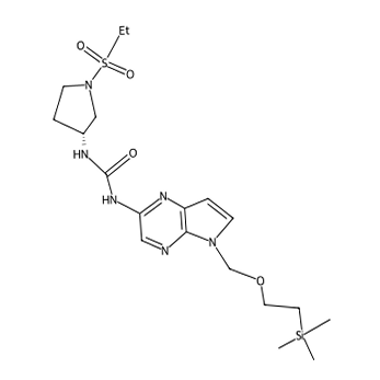 CCS(=O)(=O)N1CC[C@@H](NC(=O)Nc2cnc3c(ccn3COCC[Si](C)(C)C)n2)C1